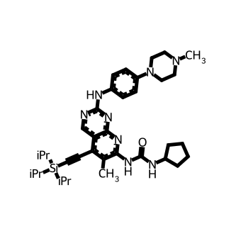 Cc1c(NC(=O)NC2CCCC2)nc2nc(Nc3ccc(N4CCN(C)CC4)cc3)ncc2c1C#C[Si](C(C)C)(C(C)C)C(C)C